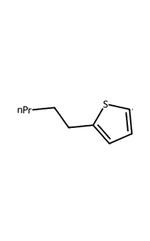 CCCCCc1cc[c]s1